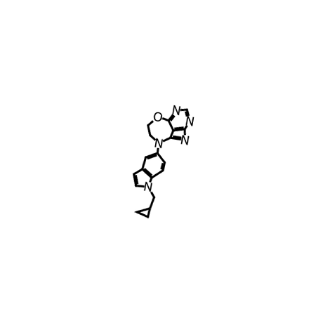 c1nc2c3c(n1)OCCN(c1ccc4c(ccn4CC4CC4)c1)C3=N2